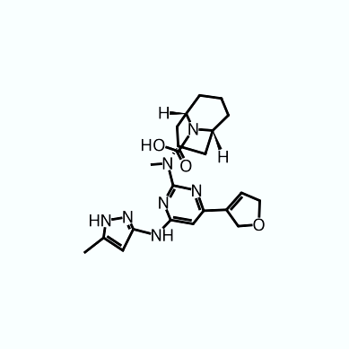 Cc1cc(Nc2cc(C3=CCOC3)nc(N(C)[C@H]3C[C@H]4CCC[C@@H](C3)N4C(=O)O)n2)n[nH]1